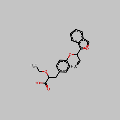 C=CC(Oc1ccc(CC(OCC)C(=O)O)cc1)c1occ2ccccc12